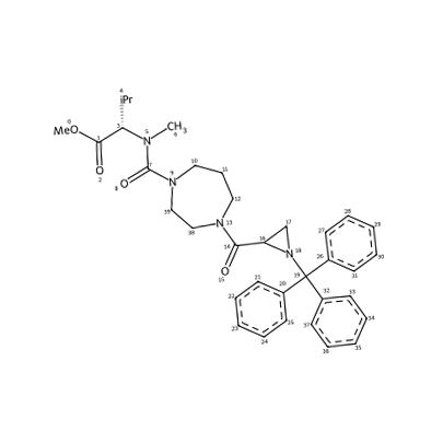 COC(=O)[C@H](C(C)C)N(C)C(=O)N1CCCN(C(=O)C2CN2C(c2ccccc2)(c2ccccc2)c2ccccc2)CC1